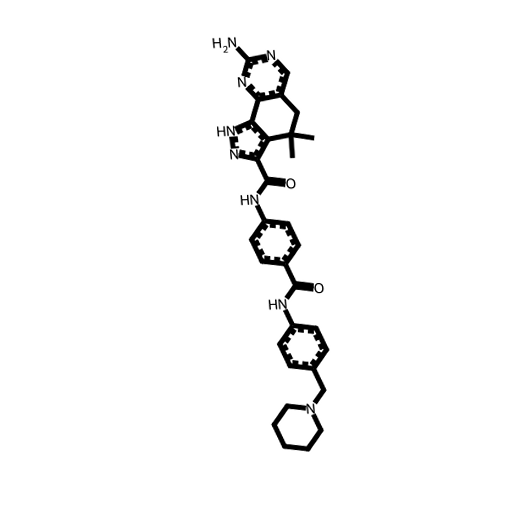 CC1(C)Cc2cnc(N)nc2-c2[nH]nc(C(=O)Nc3ccc(C(=O)Nc4ccc(CN5CCCCC5)cc4)cc3)c21